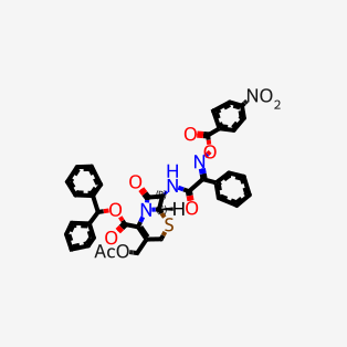 CC(=O)OCC1=C(C(=O)OC(c2ccccc2)c2ccccc2)N2C(=O)[C@@H](NC(=O)C(=NOC(=O)c3ccc([N+](=O)[O-])cc3)c3ccccc3)[C@@H]2SC1